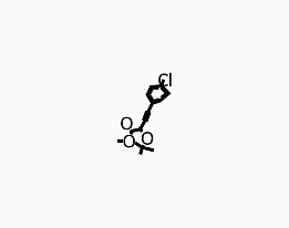 COC(=O)C(C#Cc1ccc(Cl)cc1)OC(C)(C)C